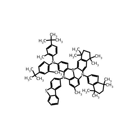 Cc1cc2c3c(c1)N(c1ccc4c(c1)C(C)(C)CCC4(C)C)c1cc4c(cc1B3c1ccc(N(c3ccc(C(C)(C)C)cc3C)c3ccc(C(C)(C)C)cc3C)cc1N2c1ccc2sc3ccccc3c2c1)C(C)(C)CCC4(C)C